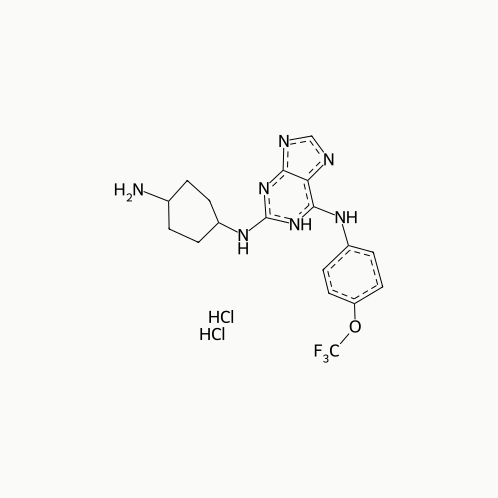 Cl.Cl.NC1CCC(Nc2nc3ncnc-3c(Nc3ccc(OC(F)(F)F)cc3)[nH]2)CC1